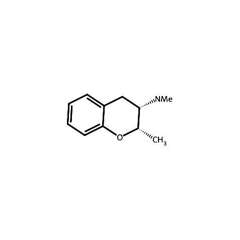 CN[C@H]1Cc2ccccc2O[C@H]1C